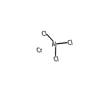 [Cl][Al]([Cl])[Cl].[Cr]